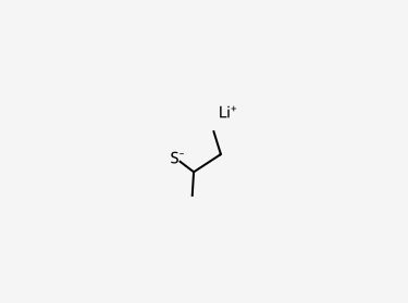 CCC(C)[S-].[Li+]